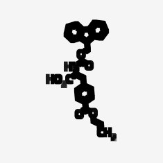 C=CCOC(=O)c1ccc(CC(NC(=O)OCC2c3ccccc3-c3ccccc32)C(=O)O)cc1